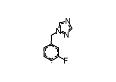 Fc1[c]ccc(Cn2cncn2)c1